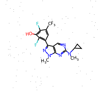 CN(c1ncc2c(-c3cc(C(F)(F)F)c(F)c(O)c3F)nn(C)c2n1)C1CC1